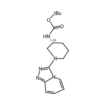 CC(C)(C)OC(=O)N[C@@H]1CCCN(c2nnc3ccccn23)C1